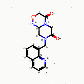 O=C1CN2C(=O)CONC2CN1Cc1cccc2cccnc12